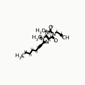 C#CCn1c(=O)c2nc(C#CCCCCC)n(C)c2n(C)c1=O